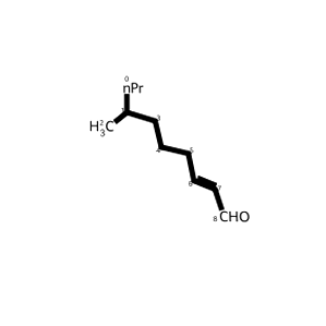 CCCC(C)CCCC=CC=O